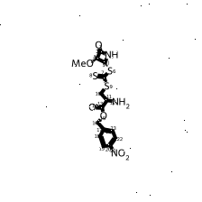 CO[C@H]1C(=O)N[C@@H]1SC(=S)SCC(N)C(=O)OCc1ccc([N+](=O)[O-])cc1